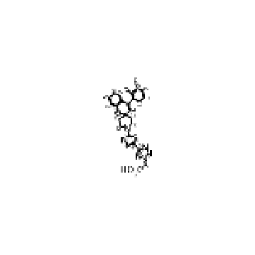 O=C(O)Cn1nnc(-c2cnc(N3CCC4(C=C(c5cccc(F)c5F)c5ccccc5O4)CC3)s2)n1